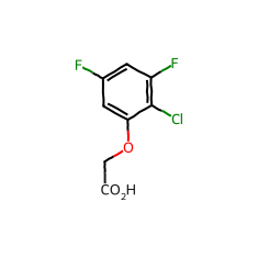 O=C(O)COc1cc(F)cc(F)c1Cl